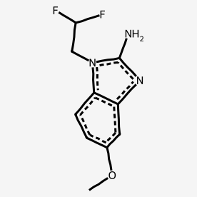 COc1ccc2c(c1)nc(N)n2CC(F)F